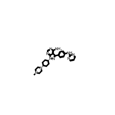 CN1CCN([C@H]2CC[C@@H](n3nc(-c4ccc(Nc5ncccn5)cc4)c4c(N)ncnc43)CC2)CC1